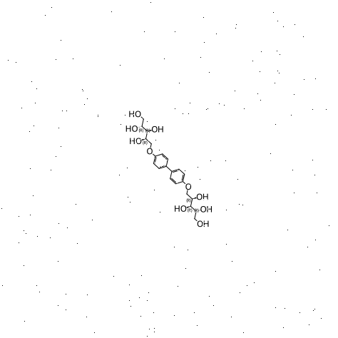 OC[C@@H](O)[C@@H](O)[C@H](O)COc1ccc(-c2ccc(OC[C@@H](O)[C@H](O)[C@H](O)CO)cc2)cc1